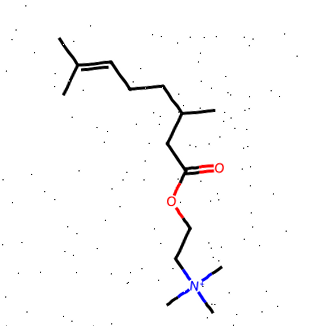 CC(C)=CCCC(C)CC(=O)OCC[N+](C)(C)C